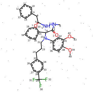 CNC(=O)[C@](NC(=O)Cc1ccccc1)(c1ccccc1)N(CCCc1ccc(C(F)(F)F)cc1)c1ccc(OC)c(OC)c1